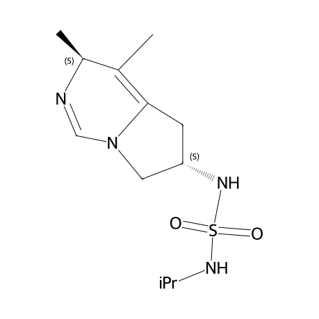 CC1=C2C[C@H](NS(=O)(=O)NC(C)C)CN2C=N[C@H]1C